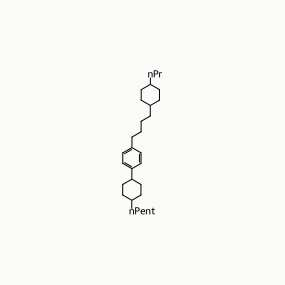 CCCCCC1CCC(c2ccc(CCCCC3CCC(CCC)CC3)cc2)CC1